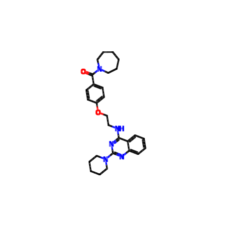 O=C(c1ccc(OCCNc2nc(N3CCCCC3)nc3ccccc23)cc1)N1CCCCCC1